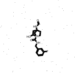 O=CNC12CC[PH](C(=O)NCc3cccc(F)c3)(C1)C(O)C2